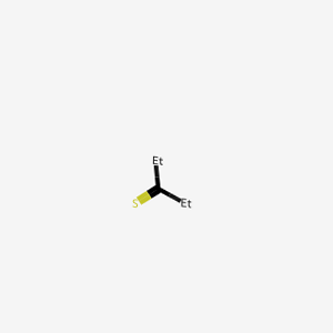 [CH2]CC(=S)C[CH2]